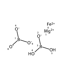 [Fe+2].[Mg+2].[O-]B(O)O.[O-]B([O-])[O-]